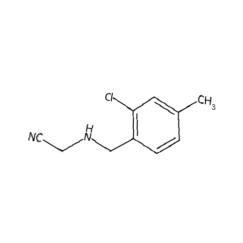 Cc1ccc(CNCC#N)c(Cl)c1